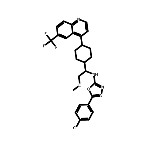 COCC(Nc1nnc(-c2ccc(Cl)cc2)o1)C1CCC(c2ccnc3ccc(C(F)(F)F)cc23)CC1